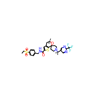 CCS(=O)(=O)c1ccc(CNC(=O)c2cc3c(s2)C2(CCN([C@H](C)c4cnc(C(F)(F)F)nc4)CC2)O[C@H](C)C3)cc1